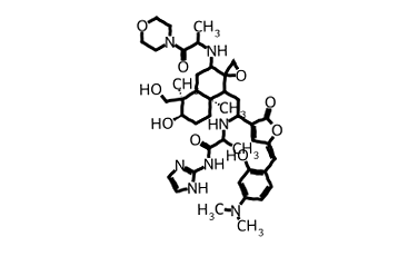 CC(NC(CC1C2(CO2)C(NC(C)C(=O)N2CCOCC2)CC2[C@]1(C)CC[C@@H](O)[C@@]2(C)CO)C1=C/C(=C\c2ccc(N(C)C)cc2O)OC1=O)C(=O)Nc1ncc[nH]1